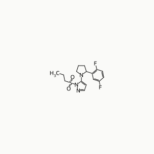 CCCS(=O)(=O)n1nccc1N1CCCC1c1cc(F)ccc1F